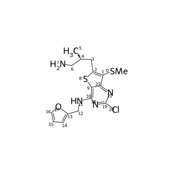 CSc1c(C[C@H](C)CN)sc2c(NCc3ccco3)nc(Cl)nc12